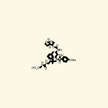 CCN(C(=O)O[C@@H]1CO[C@@H]2OCC[C@@H]21)[C@@H](Cc1ccccc1)[C@H](O)CN(CC(C)(C)CCNC(=O)NCC(=O)O)S(=O)(=O)c1ccc(OC)cc1